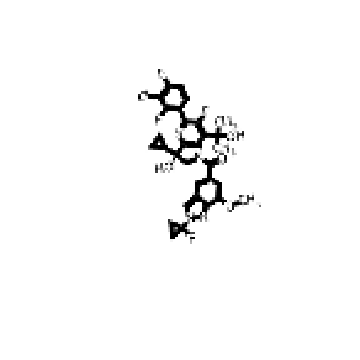 COc1cc(C(=O)NC[C@](O)(c2cc(C(C)(C)O)c(F)c(-c3ccc(F)c(Cl)c3F)n2)C2CC2)cc2cn(C3(F)CC3)nc12